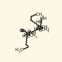 CCCCC/C=C\C/C=C\CCCCCCCC(=O)N(CCCNCCO)C(C(=O)NCCCCCCNC(=O)C(C(C)C)N(CCCN1CCOCC1)C(=O)CCCCCCC/C=C\C/C=C\CCCCC)C(C)C